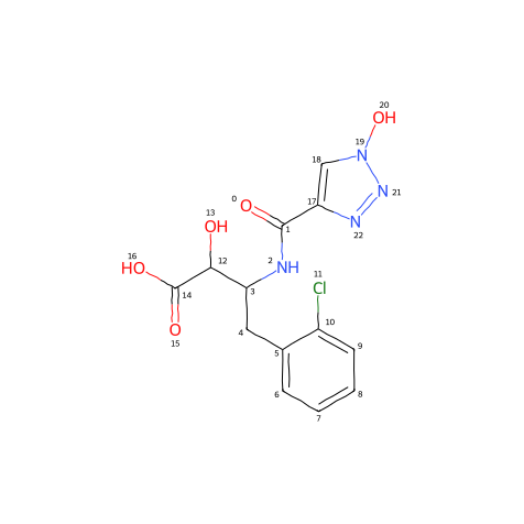 O=C(NC(Cc1ccccc1Cl)C(O)C(=O)O)c1cn(O)nn1